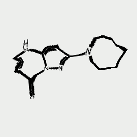 O=c1cc[nH]c2cc(N3CCCCC3)nn12